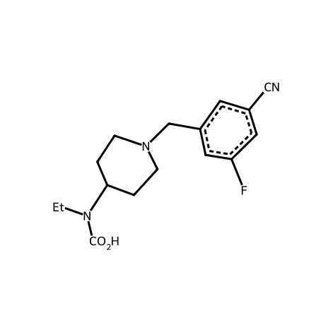 CCN(C(=O)O)C1CCN(Cc2cc(F)cc(C#N)c2)CC1